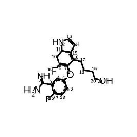 N=C(N)c1cc(OC2=C(F)CC3NC=CC3=C2CCCCO)ccc1F